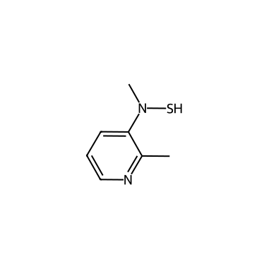 Cc1ncccc1N(C)S